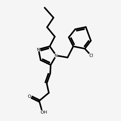 CCCCc1ncc(C=CCC(=O)O)n1Cc1ccccc1Cl